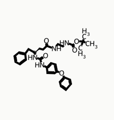 CC(C)(C)OC(=O)NCCNC(=O)CC[C@H](Cc1ccccc1)NC(=O)Nc1ccc(Oc2ccccc2)cc1